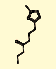 CCCC(=O)CCCc1ccc(C)o1